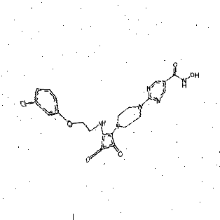 O=C(NO)c1cnc(N2CCN(c3c(NCCOc4cccc(Cl)c4)c(=O)c3=O)CC2)nc1